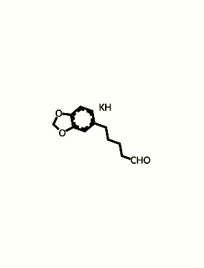 O=CCCCCc1ccc2c(c1)OCO2.[KH]